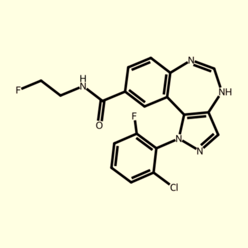 O=C(NCCF)c1ccc2c(c1)-c1c(cnn1-c1c(F)cccc1Cl)NC=N2